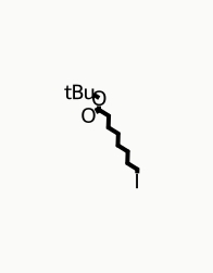 CC(C)(C)OC(=O)CCCCCCCI